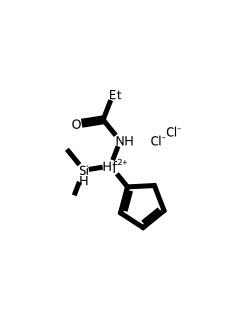 CCC(=O)[NH][Hf+2]([C]1=CC=CC1)[SiH](C)C.[Cl-].[Cl-]